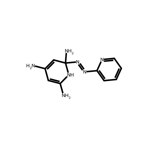 NC1=CC(N)(N=Nc2ccccn2)NC(N)=C1